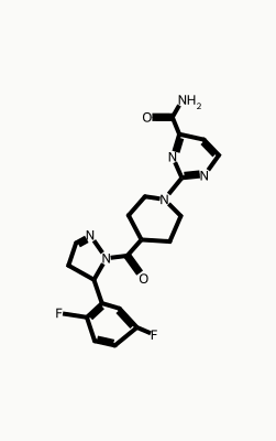 NC(=O)c1ccnc(N2CCC(C(=O)N3N=CCC3c3cc(F)ccc3F)CC2)n1